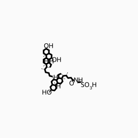 C[C@H](CCC(=O)NCCS(=O)(=O)O)[C@H]1CCC2[C@@H]3[C@@H](CCCC[C@H](C)[C@H]4CCC5[C@@H]6[C@@H](O)CC7C[C@H](O)CC[C@]7(C)[C@H]6CC[C@@]54C)CC4C[C@H](O)CC[C@]4(C)[C@H]3CC[C@@]21C